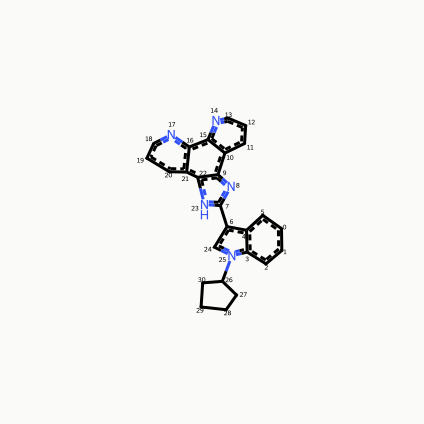 c1ccc2c(c1)c(-c1nc3c4cccnc4c4ncccc4c3[nH]1)cn2C1CCCC1